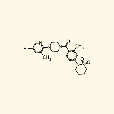 CCc1cnc(N2CCN(C(=O)c3ccc(N4CCCCS4(=O)=O)cc3C)CC2)c(C)c1